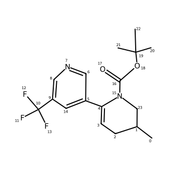 CC1CC=C(c2cncc(C(F)(F)F)c2)N(C(=O)OC(C)(C)C)C1